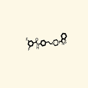 O=C(Nc1ccc(CCN2CCN(c3nsc4ccccc34)CC2)cc1)c1cc(F)cc(F)c1